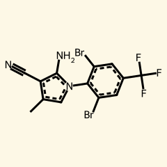 Cc1cn(-c2c(Br)cc(C(F)(F)F)cc2Br)c(N)c1C#N